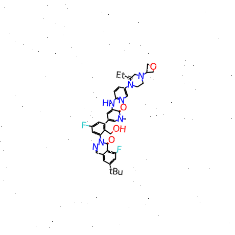 CC[C@H]1CN(C2COC2)CCN1c1ccc(Nc2cc(-c3cc(F)cc(-n4ncc5cc(C(C)(C)C)cc(F)c5c4=O)c3CO)cn(C)c2=O)nc1